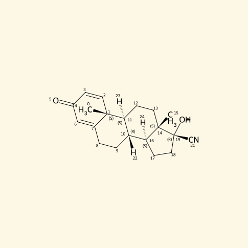 C[C@]12C=CC(=O)C=C1CC[C@@H]1[C@@H]2CC[C@@]2(C)[C@H]1CC[C@]2(O)C#N